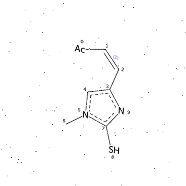 CC(=O)/C=C\c1cn(C)c(S)n1